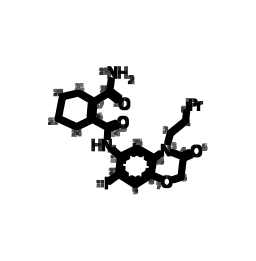 CC(C)CCN1C(=O)COc2cc(I)c(NC(=O)C3=C(C(N)=O)CCCC3)cc21